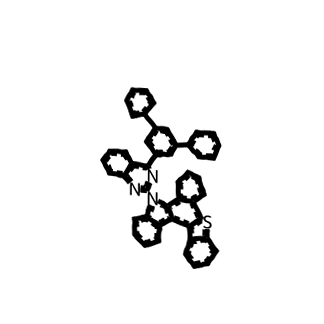 c1ccc(-c2cc(-c3ccccc3)cc(-c3nc(-n4c5ccccc5c5c6c7ccccc7sc6c6ccccc6c54)nc4ccccc34)c2)cc1